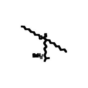 CCCCCCCCOC(=S)C(CCCCCCCC)CCCCCC(C)C.[SnH2]